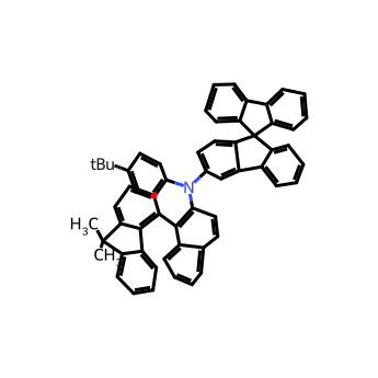 CC(C)(C)c1ccc(N(c2ccc3c(c2)-c2ccccc2C32c3ccccc3-c3ccccc32)c2ccc3ccccc3c2-c2cccc3c2-c2ccccc2C3(C)C)cc1